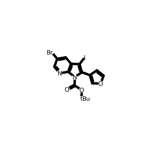 CC(C)(C)OC(=O)n1c(-c2ccoc2)c(I)c2cc(Br)cnc21